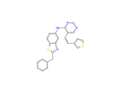 C(=Cc1cncnc1Nc1ccc2sc(Cc3ccccc3)nc2c1)c1ccsc1